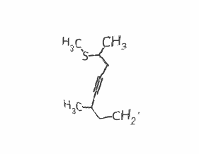 [CH2]CC(C)C#CCC(C)SC